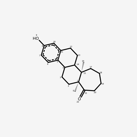 C[C@]12CCC3c4ccc(O)cc4CCC3[C@@]1(C)CCCCC2=O